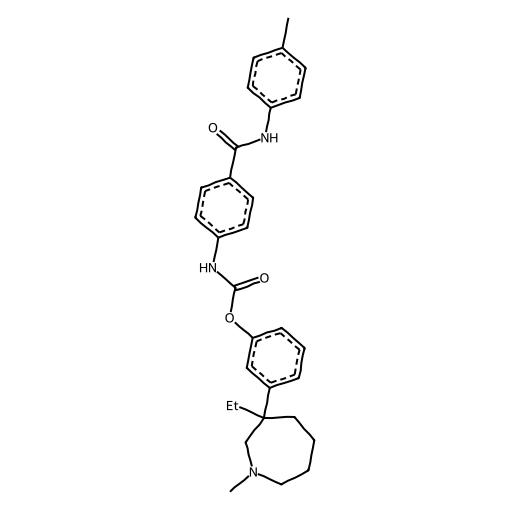 CCC1(c2cccc(OC(=O)Nc3ccc(C(=O)Nc4ccc(C)cc4)cc3)c2)CCCCN(C)C1